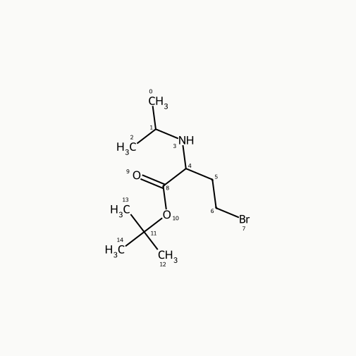 CC(C)NC(CCBr)C(=O)OC(C)(C)C